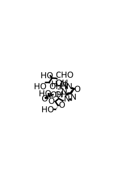 Nc1nc2c(ncn2[C@@H]2O[C@H](CO)[C@@H](OP(=O)(O)O)[C@H]2O)c(=O)[nH]1.O=CC(O)C(O)C(O)CO